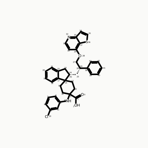 O=C(O)C1(Nc2cccc(Cl)c2)CCC2(CC1)c1ccccc1C[C@@H]2C[C@H](COc1ccnc2ccsc12)c1ccccc1